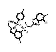 Cc1ccc(S(=O)(=O)n2c(CO)cc3cc(C)cc(S(=O)(=O)N(C)Cc4nc5ccn(C)c(=O)c5[nH]4)c32)cc1